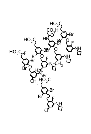 Cc1cc(COc2c(Br)cc(CC(F)C(=O)O)cc2Br)cc(NC(C)C)c1.Cc1cc(COc2c(Br)cc(CCC(=O)O)cc2Br)c(F)c(NC2CCC2)c1.Cc1cc(COc2c(Br)cc(NC(=O)CC(=O)O)cc2Br)cc(NC2CCC2)c1.O=C(O)CCc1cc(Br)c(OCc2cc(Cl)cc(NC3CCC3)c2F)c(Br)c1.O=C(O)CCc1cc(Br)c(OCc2cccc(NC3CCC3)c2F)c(Br)c1